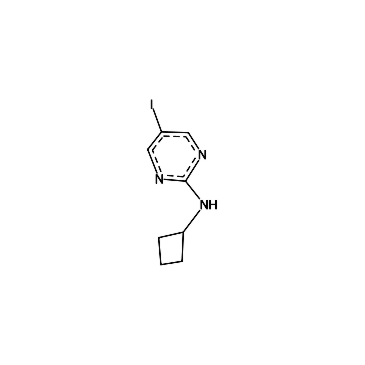 Ic1cnc(NC2CCC2)nc1